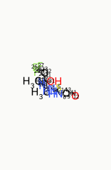 C/C(=N\NC(=S)Nc1ccc(C=O)cc1)c1nn(C)c(-c2cccc(C(F)(F)F)c2)c1O